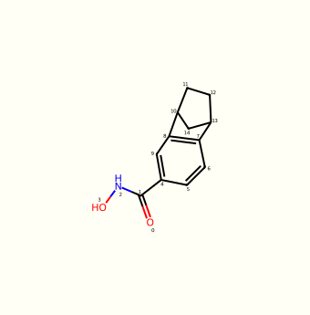 O=C(NO)c1ccc2c(c1)C1CCC2C1